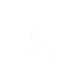 CC(C)(C)OC(=O)n1ncc2cc(C(C)(C)C)ccc21